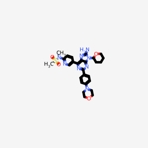 CN(c1ccc(-c2nc(-c3ccc(N4CCOCC4)cc3)nc3c2nc(N)n3C2CCCCO2)cn1)S(C)(=O)=O